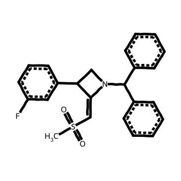 CS(=O)(=O)C=C1C(c2cccc(F)c2)CN1C(c1ccccc1)c1ccccc1